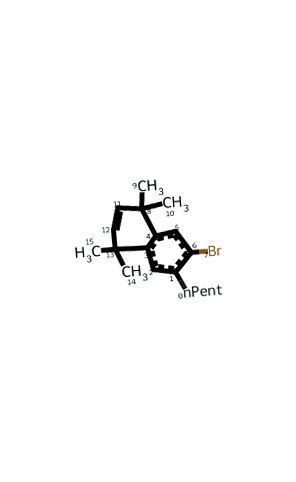 CCCCCc1cc2c(cc1Br)C(C)(C)C=CC2(C)C